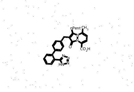 CCCCCc1c(Cc2ccc(-c3ccccc3-c3nnn[nH]3)cc2)c(=O)n2c(C(=O)O)ccc(C)n12